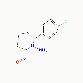 NN1C(C=O)CCCC1c1ccc(F)cc1